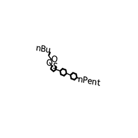 CCCCC=CC(=O)Oc1ccc(-c2ccc(-c3ccc(CCCCC)cc3)cc2)s1